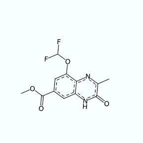 COC(=O)c1cc(OC(F)F)c2nc(C)c(=O)[nH]c2c1